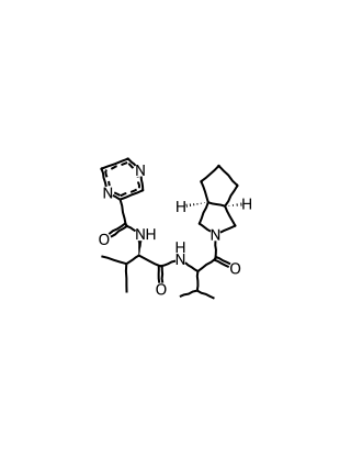 CC(C)C(NC(=O)[C@H](NC(=O)c1cnccn1)C(C)C)C(=O)N1C[C@H]2CCC[C@H]2C1